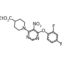 CCOC(=O)C1CCN(c2ncnc(Oc3ccc(F)cc3F)c2[N+](=O)[O-])CC1